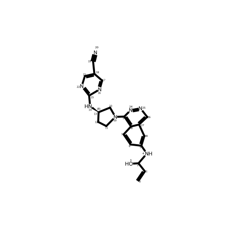 C=CC(O)Nc1ccc2c(N3CC[C@@H](Nc4ncc(C#N)cn4)C3)nncc2c1